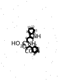 O=C(O)C(=O)C(N[C@@H](Cc1c[nH]c2ccccc12)C(=O)O)c1ccccc1